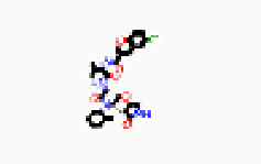 CC1CCCCC1N(C(=O)CNC(=O)[C@@H](NC(=O)C1=Cc2cc(Cl)ccc2OC1)C(C)C)[C@H](C=O)C[C@@H]1CCNC1=O